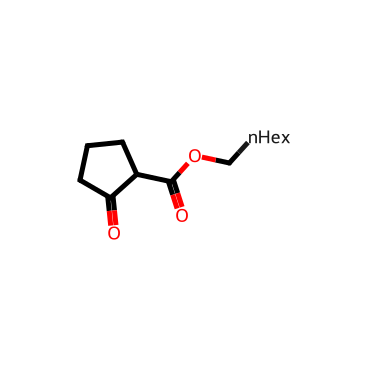 CCCCCCCOC(=O)C1CCCC1=O